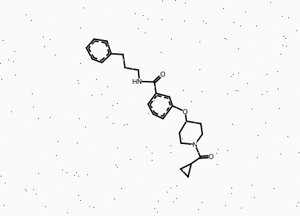 O=C(NCCCc1ccccc1)c1cccc(OC2CCN(C(=O)C3CC3)CC2)c1